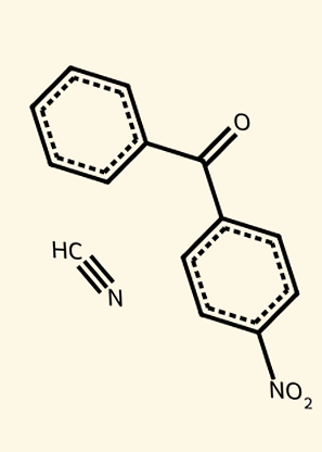 C#N.O=C(c1ccccc1)c1ccc([N+](=O)[O-])cc1